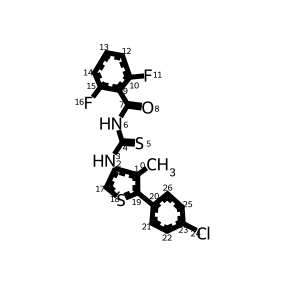 Cc1c(NC(=S)NC(=O)c2c(F)cccc2F)csc1-c1ccc(Cl)cc1